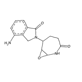 Nc1cccc2c1CN(C1CCC(=O)NC3OC31)C2=O